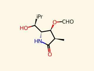 CC(C)[C@H](O)[C@H]1NC(=O)[C@H](C)[C@@H]1OC=O